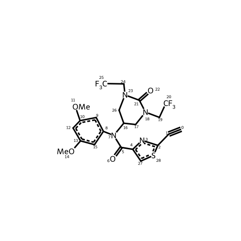 C#Cc1nc(C(=O)N(c2cc(OC)cc(OC)c2)C2CN(CC(F)(F)F)C(=O)N(CC(F)(F)F)C2)cs1